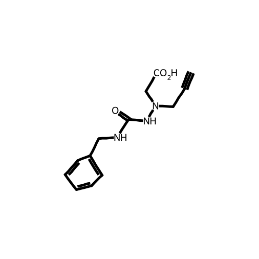 C#CCN(CC(=O)O)NC(=O)NCc1ccccc1